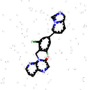 O=c1cnc2cccnc2n1Cc1c(F)cc(-c2ccc3cncn3c2)cc1F